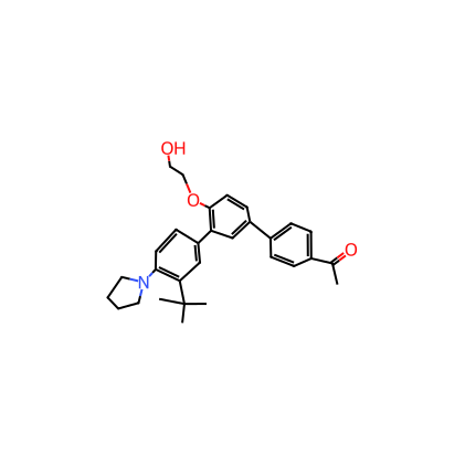 CC(=O)c1ccc(-c2ccc(OCCO)c(-c3ccc(N4CCCC4)c(C(C)(C)C)c3)c2)cc1